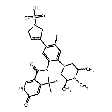 CC1CN(c2cc(F)c(C3=CCN(S(C)(=O)=O)C3)cc2NC(=O)c2c[nH]c(=O)cc2C(F)(F)F)CC(C)N1C